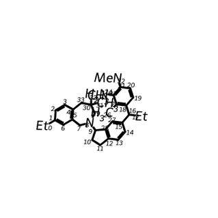 CCc1ccc2c(c1)CN(C1CCc3ccc(C(CC)c4ccc(NC)c(N)c4C)cc31)CC(C)(C)C2